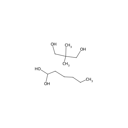 CC(C)(CO)CO.CCCCCC(O)O